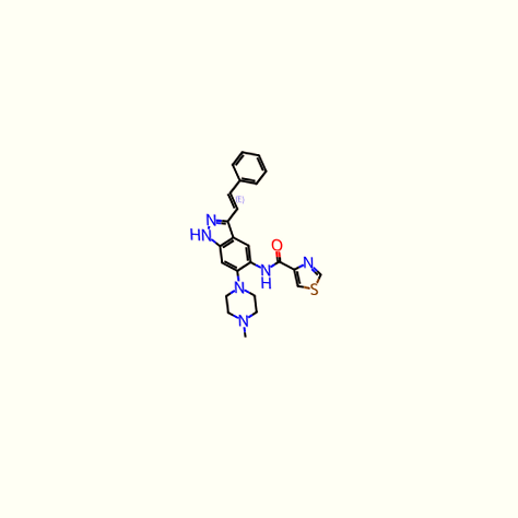 CN1CCN(c2cc3[nH]nc(/C=C/c4ccccc4)c3cc2NC(=O)c2cscn2)CC1